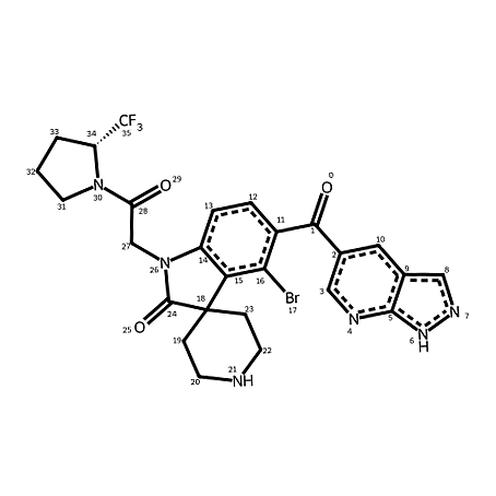 O=C(c1cnc2[nH]ncc2c1)c1ccc2c(c1Br)C1(CCNCC1)C(=O)N2CC(=O)N1CCC[C@@H]1C(F)(F)F